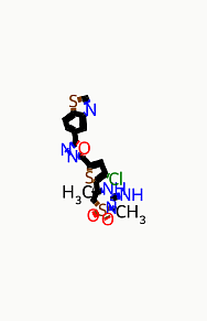 CN1C(=N)N[C@](C)(c2sc(-c3nnc(-c4ccc5scnc5c4)o3)cc2Cl)CS1(=O)=O